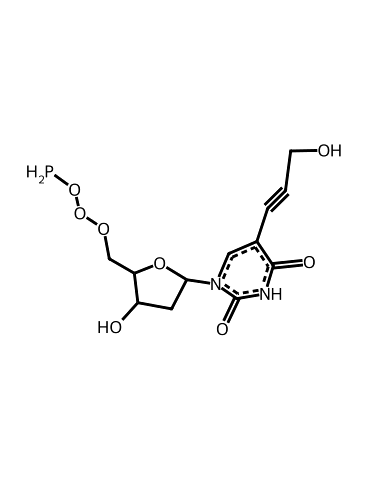 O=c1[nH]c(=O)n(C2CC(O)C(COOOP)O2)cc1C#CCO